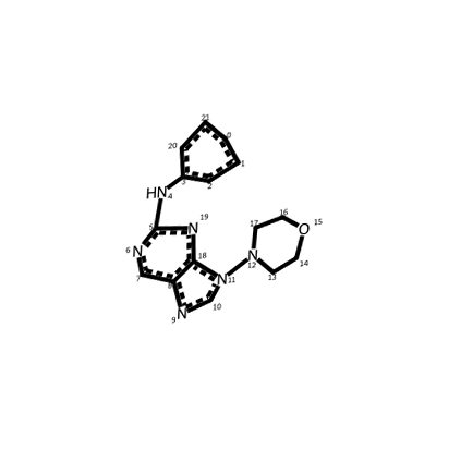 c1ccc(Nc2ncc3ncn(N4CCOCC4)c3n2)cc1